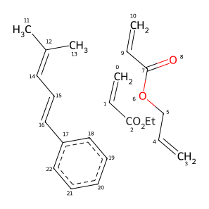 C=CC(=O)OCC.C=CCOC(=O)C=C.CC(C)=CC=Cc1ccccc1